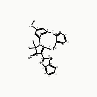 COc1cc2cc(c1)N1C(=C(c3nc4ccccc4[nH]3)C(=O)C1(C)C)NCc1ccccc1O2